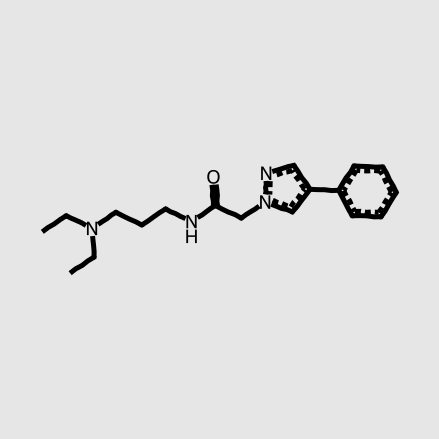 CCN(CC)CCCNC(=O)Cn1cc(-c2ccccc2)cn1